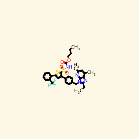 CCCCOC(=O)NS(=O)(=O)c1sc(-c2ccccc2C(F)(F)F)cc1-c1ccc(Cn2c(CC)nc3c(C)cc(C)nc32)cc1